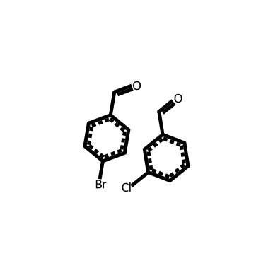 O=Cc1ccc(Br)cc1.O=Cc1cccc(Cl)c1